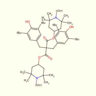 CCCCCCCCN1C(C)(C)CC(OC(=O)C(Cc2cc(C(C)(C)C)c(O)c(C(C)(C)C)c2)(Cc2cc(C(C)(C)C)c(O)c(C(C)(C)C)c2)C(=O)OC2CC(C)(C)N(CCCCCCCC)C(C)(C)C2)CC1(C)C